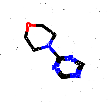 [c]1ncnc(N2CCOCC2)n1